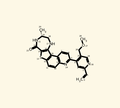 C=Cc1cc(-c2ccc3c(ccc4sc5c(c43)NC[C@@H](C)NC5=O)n2)c(COC)cn1